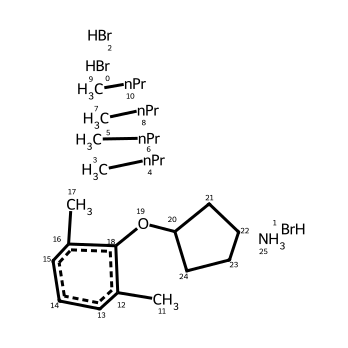 Br.Br.Br.CCCC.CCCC.CCCC.CCCC.Cc1cccc(C)c1OC1CCCC1.N